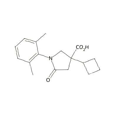 Cc1cccc(C)c1N1CC(C(=O)O)(C2CCC2)CC1=O